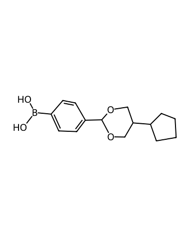 OB(O)c1ccc(C2OCC(C3CCCC3)CO2)cc1